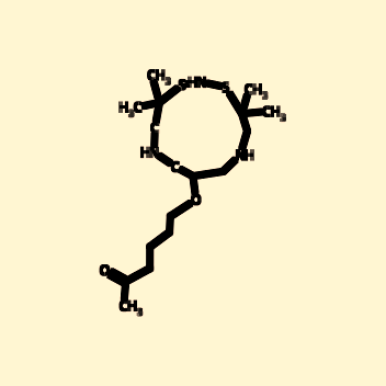 CC(=O)CCCCOC1CNCC(C)(C)SNSC(C)(C)CNC1